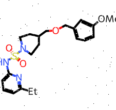 CCc1cccc(NS(=O)(=O)N2CCC(COCc3cccc(OC)c3)CC2)n1